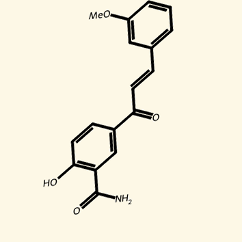 COc1cccc(C=CC(=O)c2ccc(O)c(C(N)=O)c2)c1